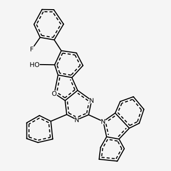 Oc1c(-c2ccccc2F)ccc2c1oc1c(-c3ccccc3)nc(-n3c4ccccc4c4ccccc43)nc12